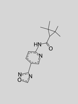 CC1(C)C(C(=O)Nc2ccc(-c3ncon3)cn2)C1(C)C